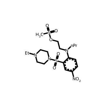 CCCN(CCOS(C)(=O)=O)c1ccc([N+](=O)[O-])cc1S(=O)(=O)N1CCN(CC)CC1